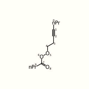 CCCC#CCCOOC(=O)CCC